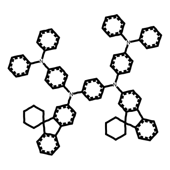 c1ccc(N(c2ccccc2)c2ccc(N(c3ccc(N(c4ccc(N(c5ccccc5)c5ccccc5)cc4)c4ccc5c(c4)C4(CCCCC4)c4ccccc4-5)cc3)c3ccc4c(c3)C3(CCCCC3)c3ccccc3-4)cc2)cc1